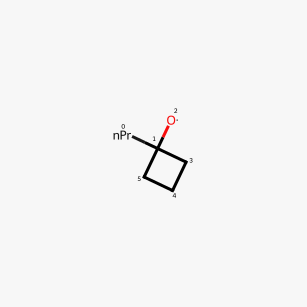 CCCC1([O])CCC1